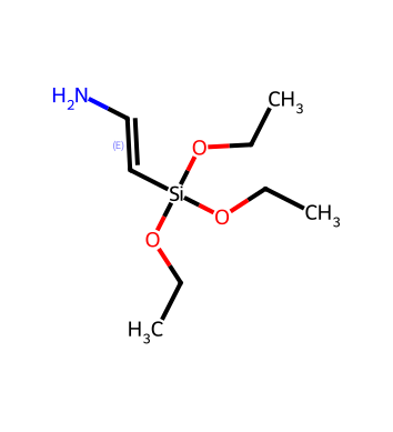 CCO[Si](/C=C/N)(OCC)OCC